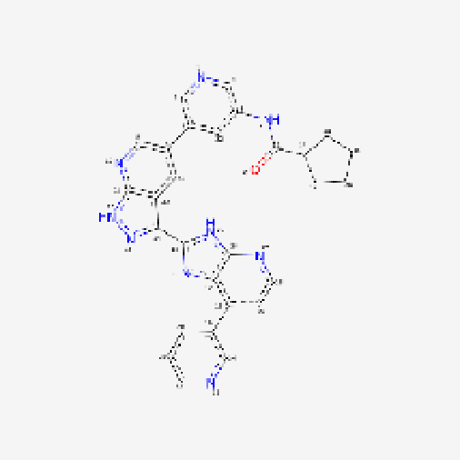 O=C(Nc1cncc(-c2cnc3[nH]nc(-c4nc5c(-c6cccnc6)ccnc5[nH]4)c3c2)c1)C1CCCC1